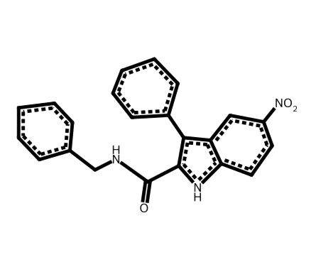 O=C(NCc1ccccc1)c1[nH]c2ccc([N+](=O)[O-])cc2c1-c1ccccc1